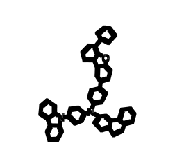 c1ccc(-c2cccc3c2oc2ccc(-c4ccc(N(c5ccc(-n6c7ccccc7c7ccccc76)cc5)c5ccc6ccc7ccccc7c6c5)cc4)cc23)cc1